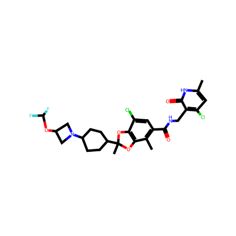 Cc1cc(Cl)c(CNC(=O)c2cc(Cl)c3c(c2C)OC(C)(C2CCC(N4CC(OC(F)F)C4)CC2)O3)c(=O)[nH]1